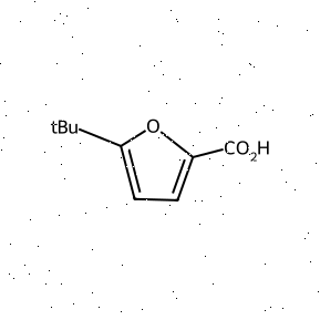 CC(C)(C)c1ccc(C(=O)O)o1